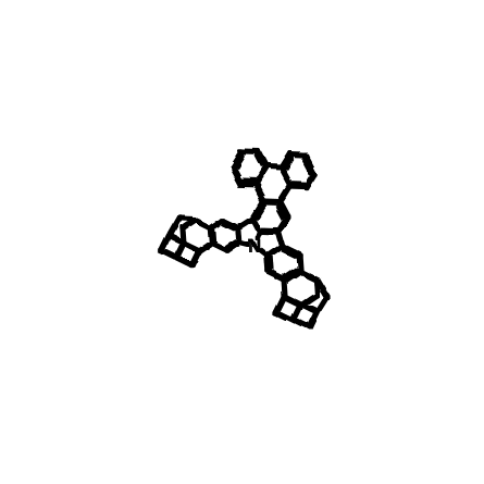 c1ccc2c(c1)c1ccccc1c1c2cc2c3cc4c(cc3n3c5cc6c(cc5c1c23)C1CC2CC3CC6C23C1)C1CC2CC3CC4CC321